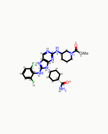 COC(=O)N1CCCC(Nc2ncc3nc(Nc4c(F)cccc4F)n([C@H]4CC[C@@H](C(N)=O)CC4)c3n2)C1